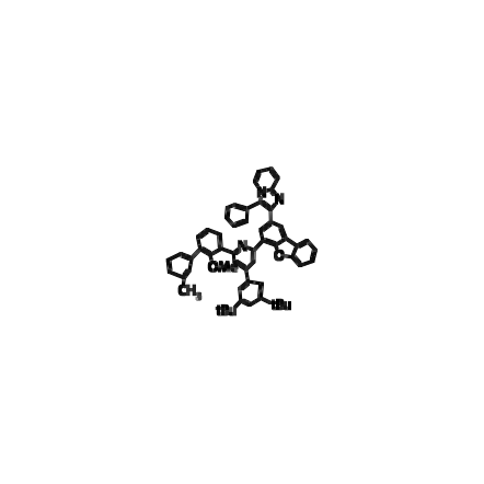 COc1c(-c2cccc(C)c2)cccc1-c1cc(-c2cc(C(C)(C)C)cc(C(C)(C)C)c2)cc(-c2cc(-c3nc4ccccn4c3-c3ccccc3)cc3c2oc2ccccc23)n1